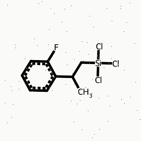 CC(C[Si](Cl)(Cl)Cl)c1ccccc1F